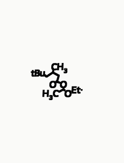 C[CH]OC(C)OC(=O)CC(C)CC(C)(C)C